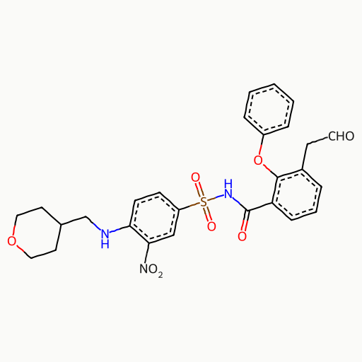 O=CCc1cccc(C(=O)NS(=O)(=O)c2ccc(NCC3CCOCC3)c([N+](=O)[O-])c2)c1Oc1ccccc1